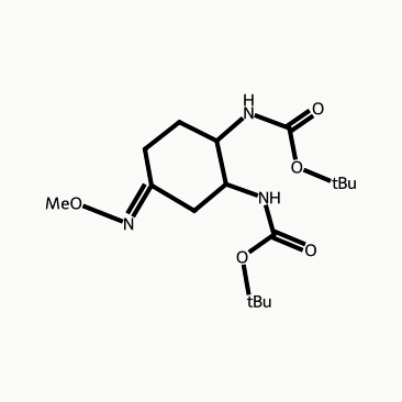 CON=C1CCC(NC(=O)OC(C)(C)C)C(NC(=O)OC(C)(C)C)C1